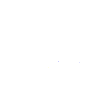 COC(=O)c1cc(F)cc(-c2c(Br)ncn2SF)c1